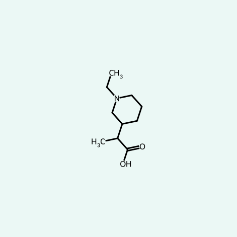 CCN1CCCC(C(C)C(=O)O)C1